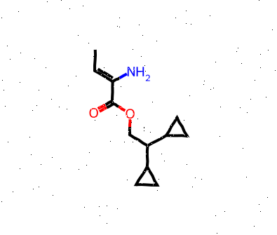 CC=C(N)C(=O)OCC(C1CC1)C1CC1